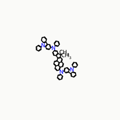 CC1(C)c2cc(N(c3ccccc3)c3ccc4c(c3)c3c(n4-c4ccccc4)CCC=C3)ccc2-c2c1cc1ccc3c(N(c4ccccc4)c4ccc5c(c4)c4ccccc4n5-c4ccccc4)ccc4ccc2c1c43